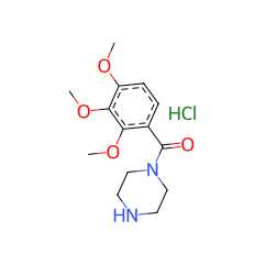 COc1ccc(C(=O)N2CCNCC2)c(OC)c1OC.Cl